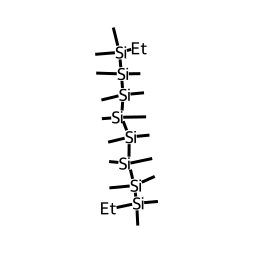 CC[Si](C)(C)[Si](C)(C)[Si](C)(C)[Si](C)(C)[Si](C)(C)[Si](C)(C)[Si](C)(C)[Si](C)(C)CC